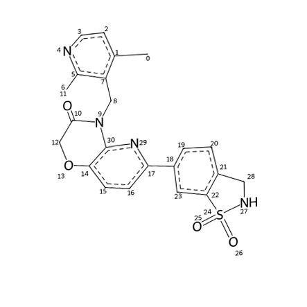 Cc1ccnc(C)c1CN1C(=O)COc2ccc(-c3ccc4c(c3)S(=O)(=O)NC4)nc21